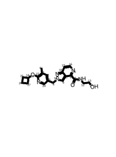 Cc1cc(Cn2cc3c(C(=O)NCCO)nccc3n2)cnc1OC1CCC1